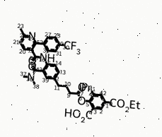 CCOC(=O)c1cc(C(=O)O)c(OC(=O)CCCc2ccc(NC(=O)c3ccc(C)nc3-c3ccc(C(F)(F)F)cc3)c(C(=O)N(C)C)c2)c(C(C)C)c1